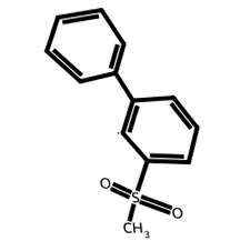 CS(=O)(=O)c1[c]c(-c2ccccc2)ccc1